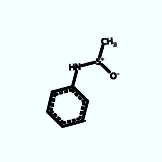 C[S+]([O-])Nc1c[c]ccc1